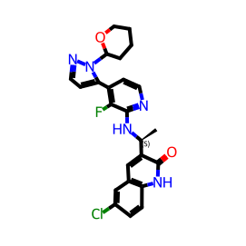 C[C@H](Nc1nccc(-c2ccnn2C2CCCCO2)c1F)c1cc2cc(Cl)ccc2[nH]c1=O